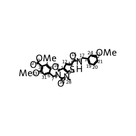 COC(=O)c1ccc(Cn2c(=O)c3cc(C(=O)NCc4cccc(OC)c4)sc3n(C)c2=O)cc1OC